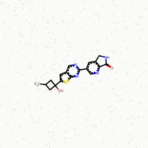 O=C1NCc2cc(-c3ncc4cc(C5(O)CC(C(F)(F)F)C5)sc4n3)cnc21